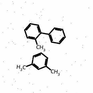 Cc1cccc(C)c1.Cc1ccccc1-c1ccccc1